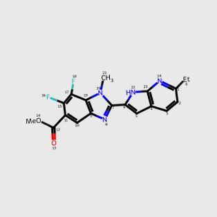 CCc1ccc2cc(-c3nc4cc(C(=O)OC)c(F)c(F)c4n3C)[nH]c2n1